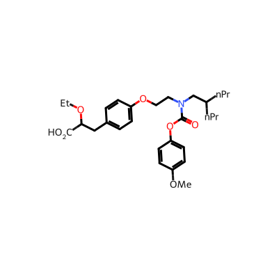 CCCC(CCC)CN(CCOc1ccc(CC(OCC)C(=O)O)cc1)C(=O)Oc1ccc(OC)cc1